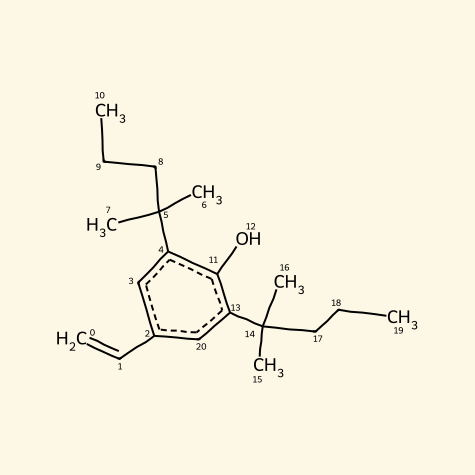 C=Cc1cc(C(C)(C)CCC)c(O)c(C(C)(C)CCC)c1